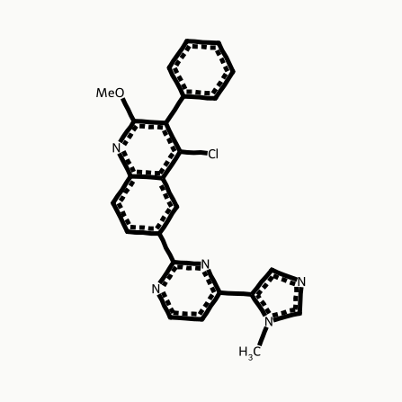 COc1nc2ccc(-c3nccc(-c4cncn4C)n3)cc2c(Cl)c1-c1ccccc1